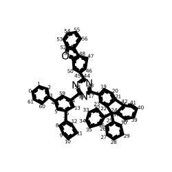 c1ccc(-c2cc(-c3ccccc3)cc(-c3nc(-c4ccc5c(c4)C(c4ccccc4)(c4ccccc4)c4ccccc4-5)nc(-c4ccc5c(c4)oc4ccccc45)n3)c2)cc1